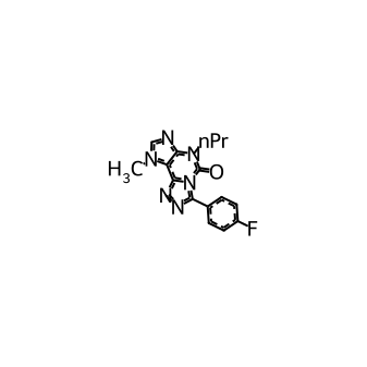 CCCn1c(=O)n2c(-c3ccc(F)cc3)nnc2c2c1ncn2C